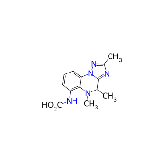 Cc1nc2n(n1)-c1cccc(NC(=O)O)c1N(C)C2C